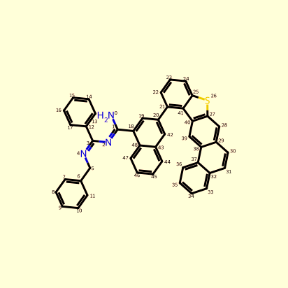 N/C(=N\C(=N/Cc1ccccc1)c1ccccc1)c1cc(-c2cccc3sc4cc5ccc6ccccc6c5cc4c23)cc2ccccc12